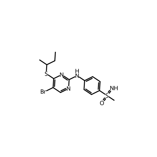 CCC(C)Sc1nc(Nc2ccc(S(C)(=N)=O)cc2)ncc1Br